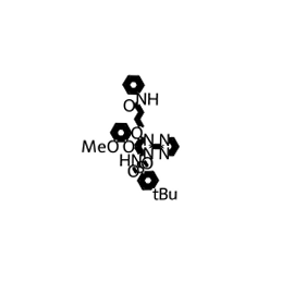 COc1ccccc1Oc1c(NS(=O)(=O)c2ccc(C(C)(C)C)cc2)nc(-c2ncccn2)nc1OCCCC(=O)Nc1ccccc1